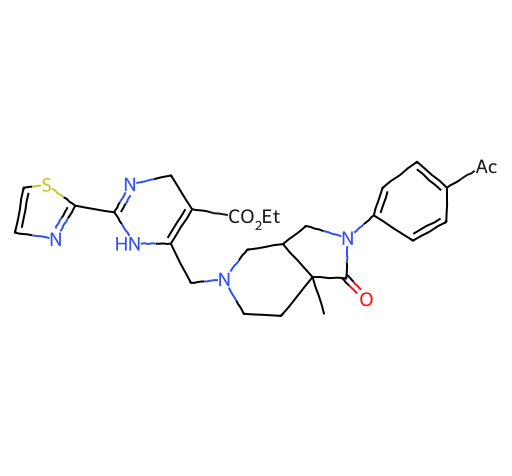 CCOC(=O)C1=C(CN2CCC3(C)C(=O)N(c4ccc(C(C)=O)cc4)CC3C2)NC(c2nccs2)=NC1